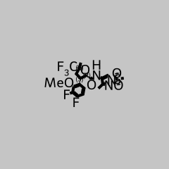 COc1c([C@@H]2C[C@](C)(C(F)(F)F)O[C@H]2C(=O)Nc2cn(S(C)(=O)=O)nc2C)ccc(F)c1F